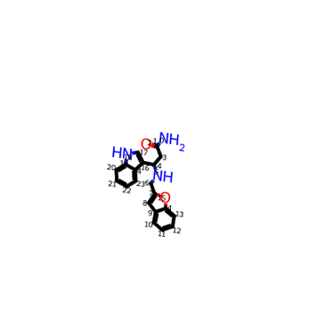 NC(=O)CC(NCc1cc2ccccc2o1)c1c[nH]c2ccccc12